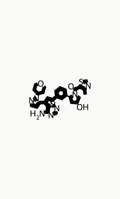 Cc1ncsc1C(=O)N1C[C@H](O)C[C@H]1c1cccc(-c2cc(-c3ccnn3C3CCOCC3)c3c(N)ncnn23)c1